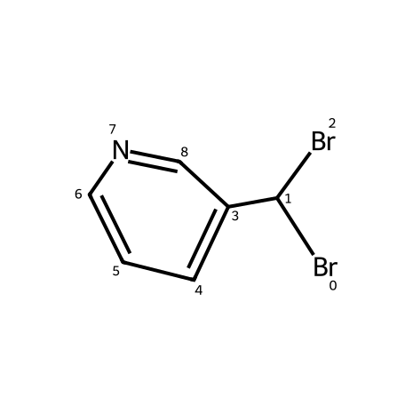 BrC(Br)c1cccnc1